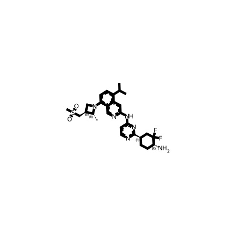 CC(C)c1ccc(N2C[C@H](CS(C)(=O)=O)[C@H]2C)c2cnc(Nc3ccnc([C@@H]4CC[C@@H](N)C(F)(F)C4)n3)cc12